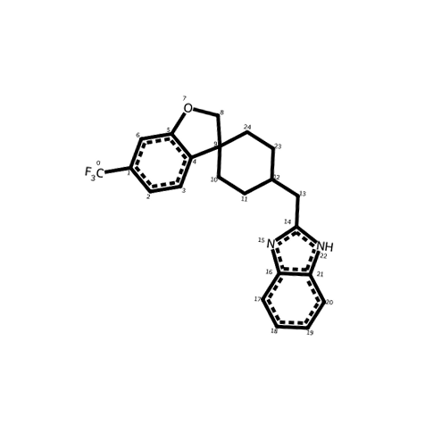 FC(F)(F)c1ccc2c(c1)OCC21CCC(Cc2nc3ccccc3[nH]2)CC1